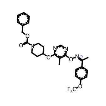 C/C(=N/Oc1ncnc(OC2CCN(C(=O)OCc3ccccc3)CC2)c1C)c1ccc(OC(F)(F)F)cc1